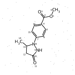 COC(=O)c1ccc(N2NC(=O)CC2C)cc1